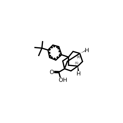 CC(C)(C)c1ccc(C23C[C@@H]4C[C@@H](CC(C(=O)O)(C4)C2)C3)cc1